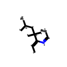 C/C=C(\N=C/NC)C(C)(C)CC(C)C(C)C